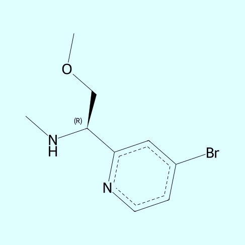 CN[C@@H](COC)c1cc(Br)ccn1